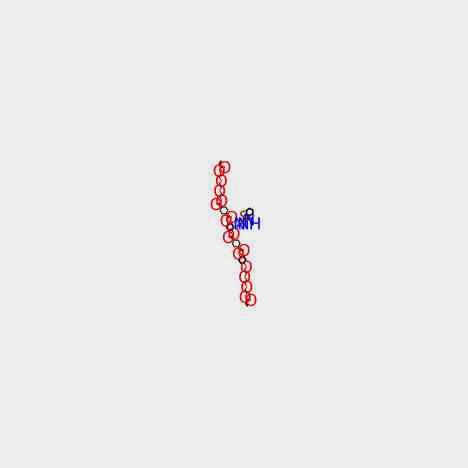 C=CC(=O)OCCOCCOCCOC(=O)C1CCC(C(=O)Oc2ccc(OC(=O)C3CCC(C(=O)Oc4ccc(OCCOCCOCCOC(=O)C=C)cc4)CC3)c(/C=N/Nc3nc4ccccc4s3)c2)CC1